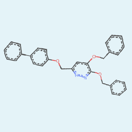 c1ccc(COc2cc(COc3ccc(-c4ccccc4)cc3)nnc2OCc2ccccc2)cc1